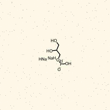 O=[PH](O)OCC(O)CO.[NaH].[NaH]